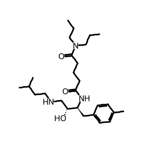 CCCN(CCC)C(=O)CCCC(=O)N[C@@H](Cc1ccc(C)cc1)[C@H](O)CNCCC(C)C